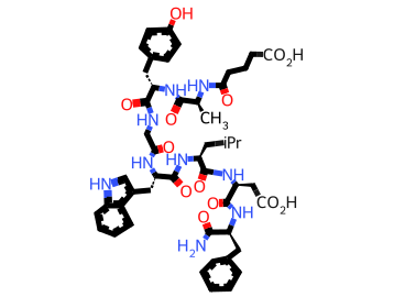 CC(C)C[C@H](NC(=O)[C@H](Cc1c[nH]c2ccccc12)NC(=O)CNC(=O)[C@H](Cc1ccc(O)cc1)NC(=O)[C@H](C)NC(=O)CCCC(=O)O)C(=O)N[C@@H](CC(=O)O)C(=O)N[C@@H](Cc1ccccc1)C(N)=O